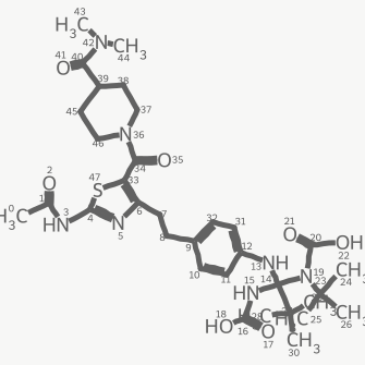 CC(=O)Nc1nc(CCc2ccc(NC(NC(=O)O)(N(C(=O)O)C(C)(C)C)C(C)(C)C)cc2)c(C(=O)N2CCC(C(=O)N(C)C)CC2)s1